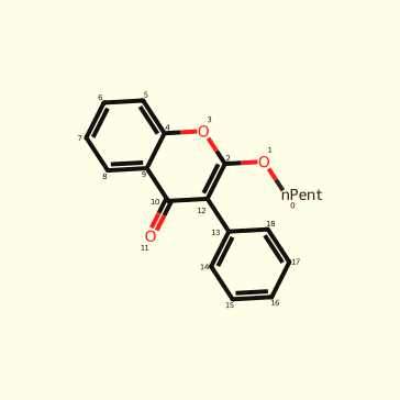 CCCCCOc1oc2ccccc2c(=O)c1-c1ccccc1